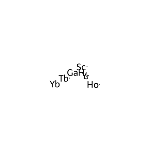 [GaH3].[Ho].[Sc].[Tb].[Y].[Yb]